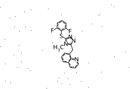 Cn1c(Cc2cccc3cccnc23)nnc1Sc1c(F)cccc1F